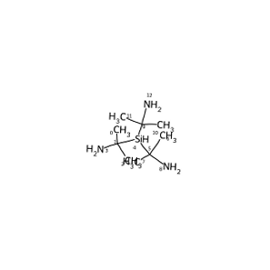 CC(C)(N)[SiH](C(C)(C)N)C(C)(C)N